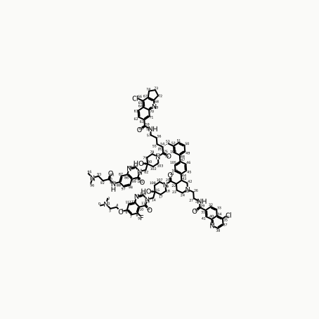 CN(C)CCOc1cc(F)c2c(=O)n(CC3(O)CCN(C(=O)C4CCN(CCNC(=O)c5ccc6c(Cl)ccnc6c5)CC4c4ccc(-c5cccc(C[C@@H](CCCNC(=O)c6ccc7c(Cl)c8c(nc7c6)CCC8)C(=O)N6CCC(O)(Cn7cnc8cc(NC(=O)CCN(C)C)ccc8c7=O)CC6)c5)cc4)CC3)cnc2c1